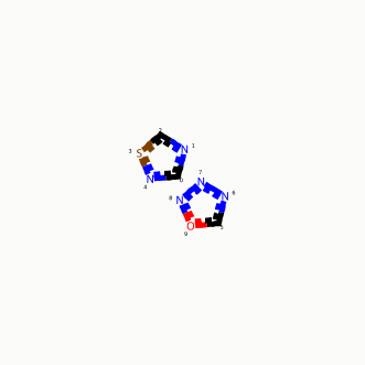 c1ncsn1.c1nnno1